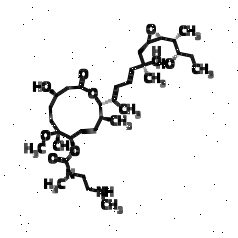 CC[C@H](O)[C@@H](C)[C@H]1O[C@@H]1C[C@@](C)(O)/C=C/C=C(\C)[C@H]1OC(=O)C[C@H](O)CC[C@@](C)(OC)[C@H](OC(=O)N(C)CCNC)/C=C/[C@@H]1C